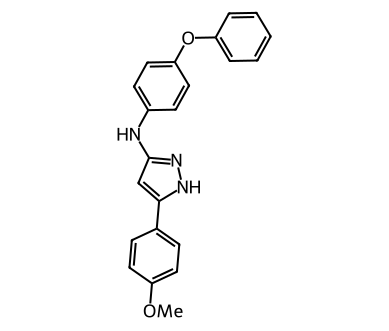 COc1ccc(-c2cc(Nc3ccc(Oc4ccccc4)cc3)n[nH]2)cc1